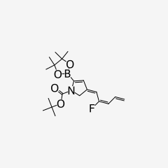 C=C/C=C(F)\C=C1\C=C(B2OC(C)(C)C(C)(C)O2)N(C(=O)OC(C)(C)C)C1